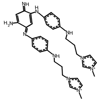 C[n+]1ccn(CCCNc2ccc(N=C3C=C(Nc4ccc(NCCCn5cc[n+](C)c5)cc4)C(=N)C=C3N)cc2)c1